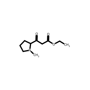 CCOC(=O)CC(=O)C1CCCN1C